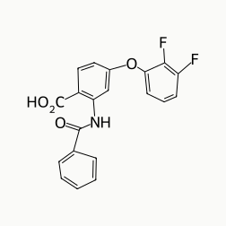 O=C(Nc1cc(Oc2cccc(F)c2F)ccc1C(=O)O)c1ccccc1